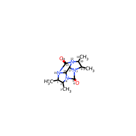 CC1C(C)N2C(=O)N3C(C)C(C)N4C(=O)N1C2C43